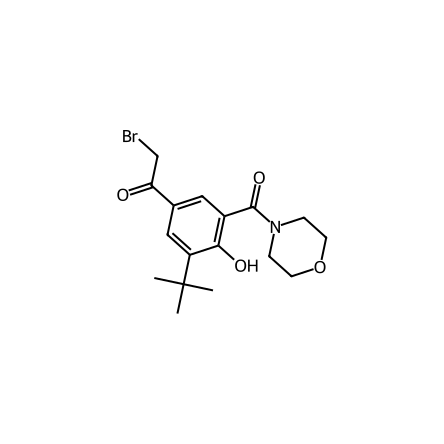 CC(C)(C)c1cc(C(=O)CBr)cc(C(=O)N2CCOCC2)c1O